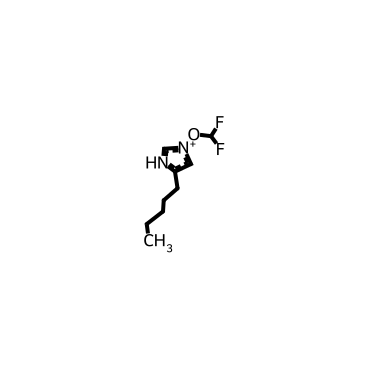 CCCCCc1c[n+](OC(F)F)c[nH]1